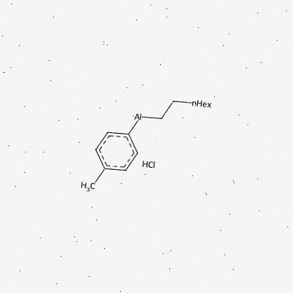 CCCCCCC[CH2][Al][c]1ccc(C)cc1.Cl